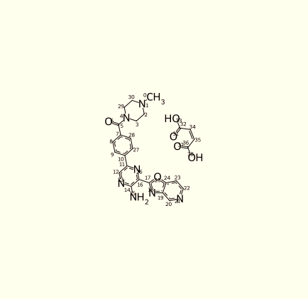 CN1CCN(C(=O)c2ccc(-c3cnc(N)c(-c4nc5cnccc5o4)n3)cc2)CC1.O=C(O)/C=C\C(=O)O